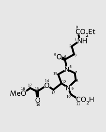 CCOC(=O)NCCC(=O)N1CCN(CC(=O)O)C(COC(=O)COC)C1